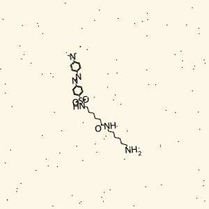 CN(C)c1ccc(N=Nc2ccc(S(=O)(=O)NCCCCCC(=O)NCCCCCCN)cc2)cc1